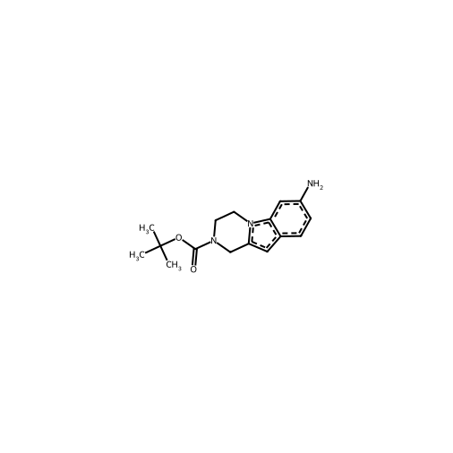 CC(C)(C)OC(=O)N1CCn2c(cc3ccc(N)cc32)C1